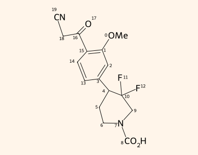 COc1cc(C2CCN(C(=O)O)CC2(F)F)ccc1C(=O)CC#N